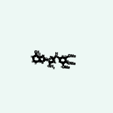 COc1cc(Nc2nc(N)n(-c3nc4c(C)cccc4s3)n2)cc(OC)c1OC